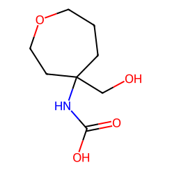 O=C(O)NC1(CO)CCCOCC1